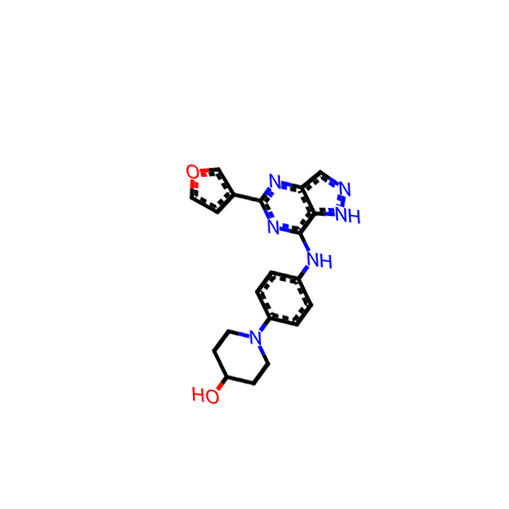 OC1CCN(c2ccc(Nc3nc(-c4ccoc4)nc4cn[nH]c34)cc2)CC1